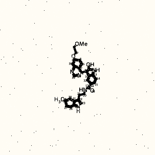 COCCOc1ccc2c(-c3c(O)[nH]c4ccc(C(=O)NCCc5c[nH]c6ccc(C)cc56)cc34)ncnc2c1